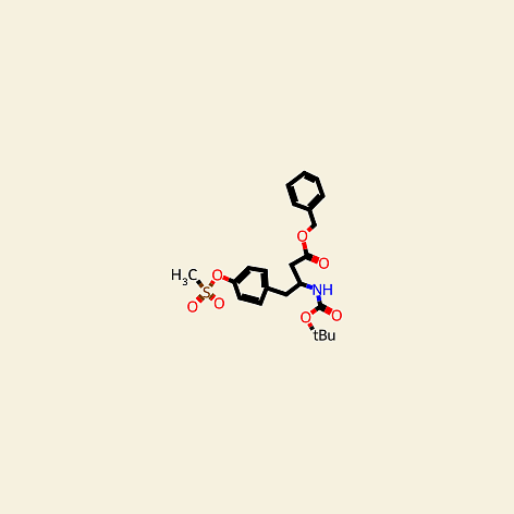 CC(C)(C)OC(=O)NC(CC(=O)OCc1ccccc1)Cc1ccc(OS(C)(=O)=O)cc1